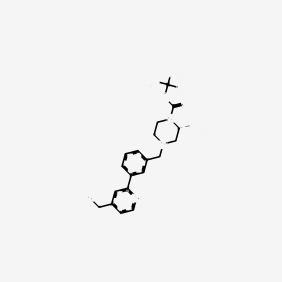 C[C@H]1CN(Cc2cccc(-c3cc(CN)ccn3)c2)CCN1C(=O)OC(C)(C)C